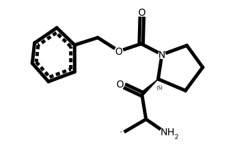 [CH2]C(N)C(=O)[C@@H]1CCCN1C(=O)OCc1ccccc1